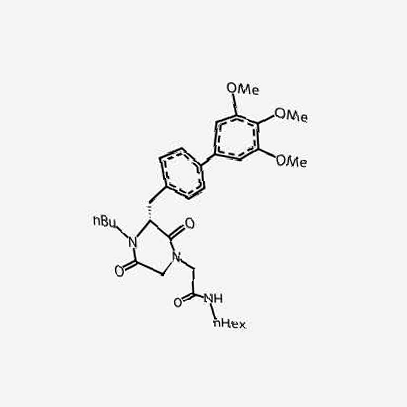 CCCCCCNC(=O)CN1CC(=O)N(CCCC)[C@H](Cc2ccc(-c3cc(OC)c(OC)c(OC)c3)cc2)C1=O